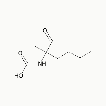 CCCCC(C)(C=O)NC(=O)O